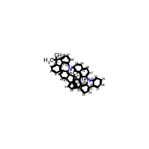 CC1(C)c2ccccc2-c2c(N(c3ccc4ccc(-n5c6ccccc6c6ccccc65)c(-c5ccccc5)c4c3)c3cccc4c3C(C)(C)c3ccccc3-4)cccc21